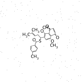 COc1cc(C(CC=C(C)C)SC(=O)c2ccc(C)cc2)c(OC)c2c1C(=O)C=CC2=O